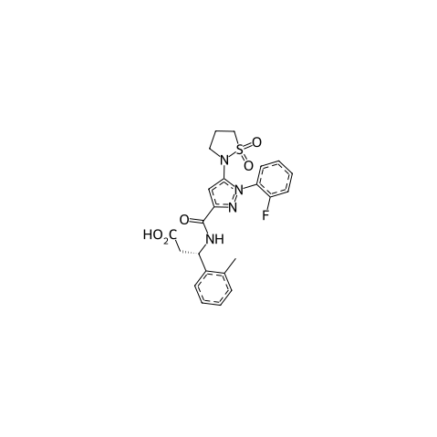 Cc1ccccc1[C@H](CC(=O)O)NC(=O)c1cc(N2CCCS2(=O)=O)n(-c2ccccc2F)n1